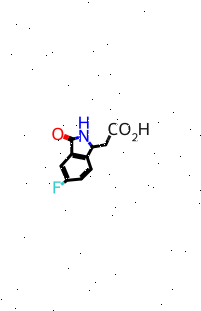 O=C(O)CC1NC(=O)c2cc(F)ccc21